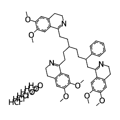 COc1cc2c(cc1OC)C(CCC(CCC1=NCCc3cc(OC)c(OC)cc31)CCC(CC1=NCCc3cc(OC)c(OC)cc31)c1ccccc1)=NCC2.Cl.Cl.Cl.O.O.O